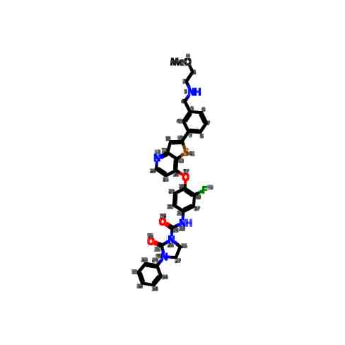 COCCNCc1cccc(-c2cc3nccc(Oc4ccc(NC(=O)N5CCN(c6ccccc6)C5=O)cc4F)c3s2)c1